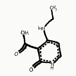 CCNc1cc[nH]c(=O)c1C(=O)O